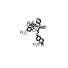 Cc1cc(C)c(S(=O)(=O)N(C)CCN(CCCOc2ccc3c(ccc(=O)n3C)c2)Cc2ccncc2)c(C)c1.Cl.Cl